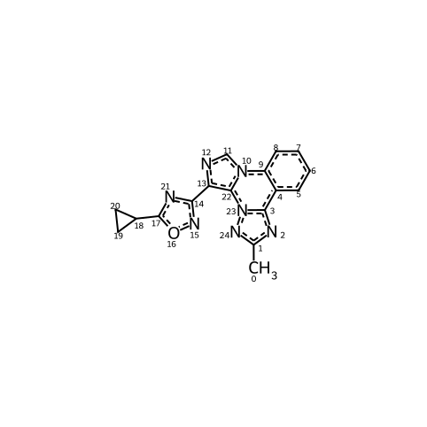 Cc1nc2c3ccccc3n3cnc(-c4noc(C5CC5)n4)c3n2n1